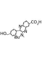 CCC(C)N(C)c1nc2cc(C(=O)O)ccc2nc1-c1ccc(CO)cc1